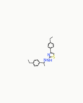 CCc1ccc(C(C)=NNc2nc(-c3ccc(CC)cc3)cs2)cc1